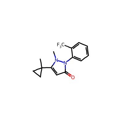 Cn1c(C2(C)CC2)cc(=O)n1-c1ccccc1C(F)(F)F